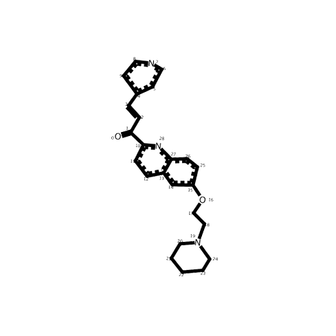 O=C(C=Cc1ccncc1)c1ccc2cc(OCCN3CCCCC3)ccc2n1